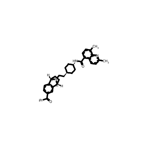 Cc1ccc2c(C(=O)N[C@H]3CC[C@H](CCN4[C@@H]5CC[C@H]4c4ccc(C(=O)C(C)C)cc45)CC3)ccc(C)c2n1